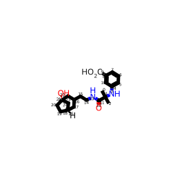 CC(C)(Nc1cccc(C(=O)O)c1)C(=O)NCCC1C[C@@H]2CC[C@@](O)(C1)C2